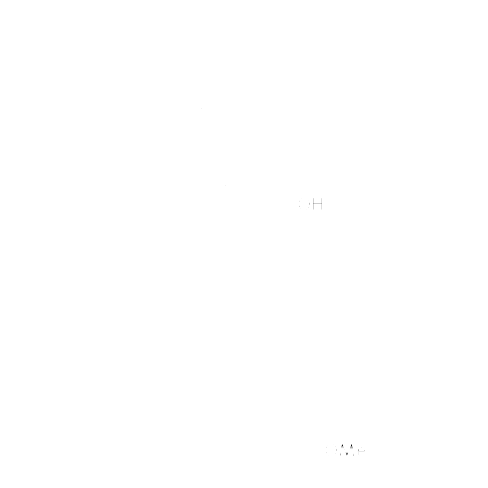 COc1cccc(/C=C/C(O)CCc2ccccc2)c1